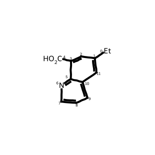 CCc1cc(C(=O)O)c2ncccc2c1